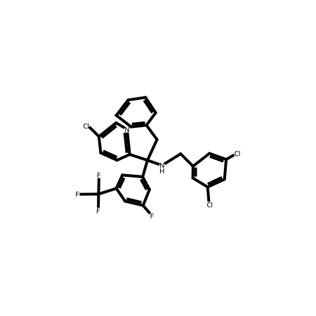 Fc1cc(C(F)(F)F)cc(C(Cc2ccccc2)(NCc2cc(Cl)cc(Cl)c2)c2ccc(Cl)cn2)c1